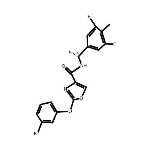 Cc1c(F)cc([C@@H](C)NC(=O)c2coc(Oc3cccc(Br)c3)n2)cc1F